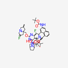 C=C1CN2C[C@H](F)CC2(COc2nc3c4c(nc(-c5cc(NC(=O)OC(C)(C)C)cc6cccc(C#C[Si](C(C)C)(C(C)C)C(C)C)c56)c(F)c4n2)OC(C)C2C4CCC(CN32)N4C(=O)O)C1